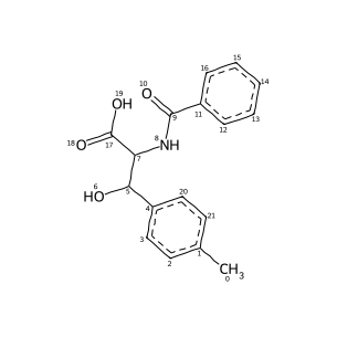 Cc1ccc(C(O)C(NC(=O)c2ccccc2)C(=O)O)cc1